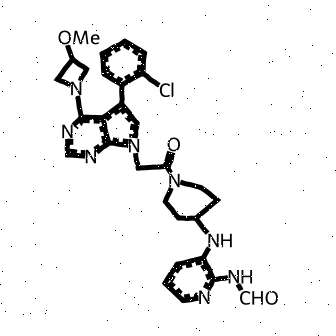 COC1CN(c2ncnc3c2c(-c2ccccc2Cl)cn3CC(=O)N2CCC(Nc3cccnc3NC=O)CC2)C1